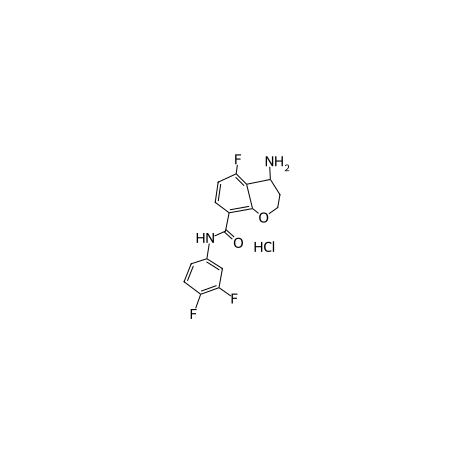 Cl.NC1CCOc2c(C(=O)Nc3ccc(F)c(F)c3)ccc(F)c21